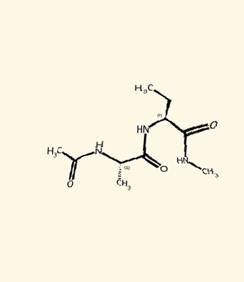 CC[C@H](NC(=O)[C@H](C)NC(C)=O)C(=O)NC